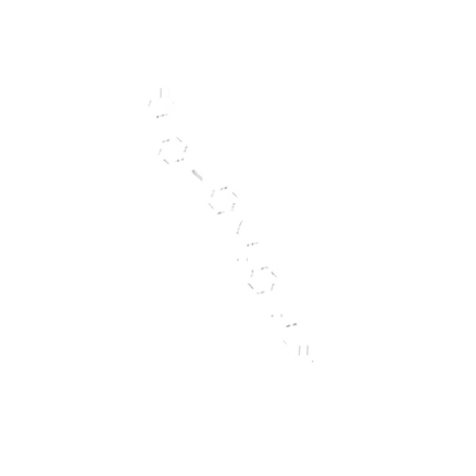 C=CC(=O)Cc1ccc(C#Cc2ccc(/C=C/C(=O)Oc3ccc(COC(=O)C=C)cc3)cc2)cc1